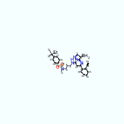 Bc1cnn2c(NCCCN(C)S(=O)(=O)c3ccc(C(C)(C)CC)cc3)cc(-c3ccccc3C#C)nc12